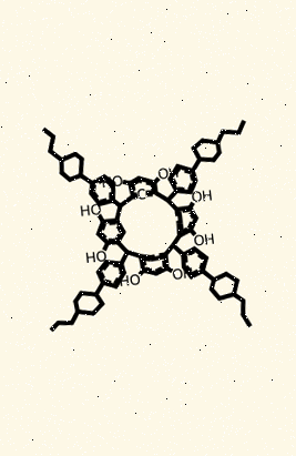 CCCC1CCC(c2ccc(C3c4cc(c(O)cc4O)C(c4ccc(C5CCC(CCC)CC5)cc4)c4cc(c(O)cc4O)C(c4ccc(C5CCC(CCC)CC5)cc4)c4cc(c(O)cc4O)C(c4ccc(C5CCC(CCC)CC5)cc4)c4cc3c(O)cc4O)cc2)CC1